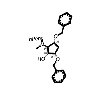 CCCCCN(C)[C@@H]1[C@@H](O)[C@@H](OCc2ccccc2)C[C@H]1OCc1ccccc1